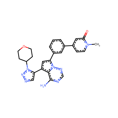 Cn1ccc(-c2cccc(-c3cc(-c4cnnn4C4CCOCC4)c4c(N)ncnn34)c2)cc1=O